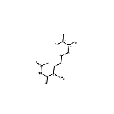 C=C(NC(C)C)C(N)CCCCN(C)C(C)C